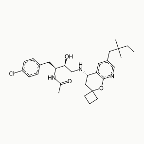 CCC(C)(C)Cc1cnc2c(c1)[C@@H](NC[C@H](O)[C@H](Cc1ccc(Cl)cc1)NC(C)=O)CC1(CCC1)O2